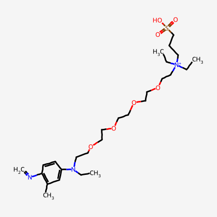 C=Nc1ccc(N(CC)CCOCCOCCOCCOCC[N+](CC)(CC)CCCS(=O)(=O)O)cc1C